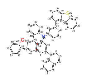 c1cc(-c2cccc3ccccc23)cc(N(c2cccc(-c3cccc4sc5ccccc5c34)c2)c2ccccc2-c2cccc3c2oc2ccccc23)c1